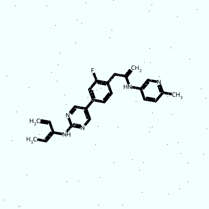 C=C/C(=C\C)Nc1ncc(-c2ccc(CC(=C)Nc3ccc(C)nc3)c(F)c2)cn1